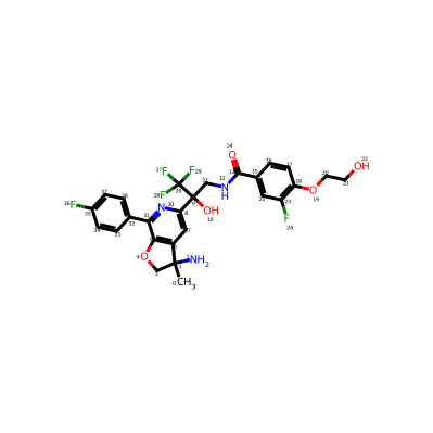 CC1(N)COc2c1cc(C(O)(CNC(=O)c1ccc(OCCO)c(F)c1)C(F)(F)F)nc2-c1ccc(F)cc1